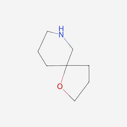 C1CNCC2(C1)CCCO2